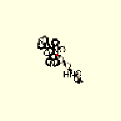 CC(C)(C)OC(=O)NCCOCCOCCN1C(=O)c2ccccc2C12c1cc3c4c(c1Oc1c2cc2c5c1CCCN5CCC2)CCCN4CCC3